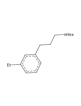 CCCCCCCCCc1cccc(CC)c1